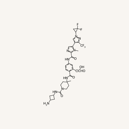 Cn1c(-c2cn(C3CC3(F)F)nc2C(F)(F)F)cnc1C(=O)Nc1ccc(C(=O)NC2(C)CCN(C(=O)NC3CC(N)C3)CC2)c(Cl)c1.O=CO